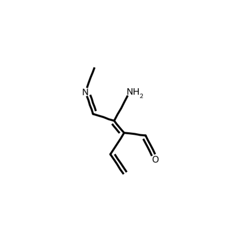 C=C/C(C=O)=C(N)\C=N/C